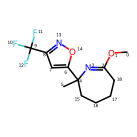 COC1=NC(C)(c2cc(C(F)(F)F)no2)CCCC1